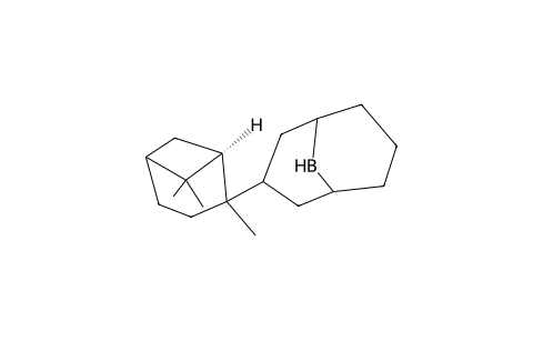 CC1(C)C2CCC(C)(C3CC4BC(CCC4)C3)[C@@H]1C2